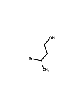 C[C@H](Br)CCO